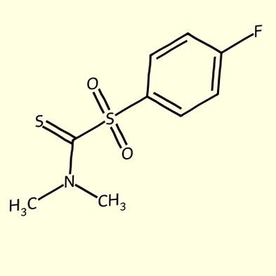 CN(C)C(=S)S(=O)(=O)c1ccc(F)cc1